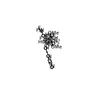 COC(=O)N[C@H](C(=O)N[C@@H](Cc1ccc(C#Cc2ccc(N3CC4CC(CN(c5ccccn5)C4)C3)nc2)cc1)[C@@H](O)CN(Cc1c(F)cc(-c2cnn(C(F)F)c2)cc1F)NC(=O)[C@@H](NC(=O)OC)C(C)(C)C(F)(F)F)C(C)(C)C(F)(F)F